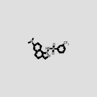 CN(C)c1ccc2c(ccc3cnn(NS(=O)(=O)c4cccc(C(F)(F)F)c4)c32)c1